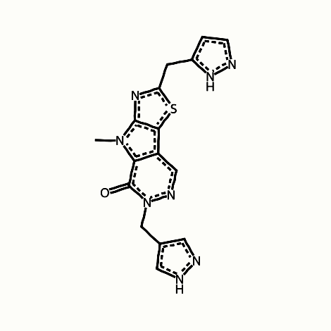 Cn1c2nc(Cc3ccn[nH]3)sc2c2cnn(Cc3cn[nH]c3)c(=O)c21